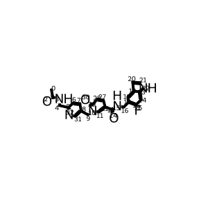 CC(=O)NCc1ccc(Cn2cc(C(=O)NCc3cc4cc[nH]c4cc3F)ccc2=O)cn1